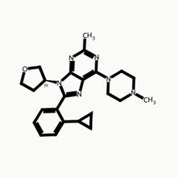 Cc1nc(N2CCN(C)CC2)c2nc(-c3ccccc3C3CC3)n([C@H]3CCOC3)c2n1